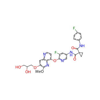 COc1nc2c(Oc3ncc(NC(=O)C4(C(=O)Nc5ccc(F)cc5)CC4)cc3F)ccnc2cc1OCC(O)CO